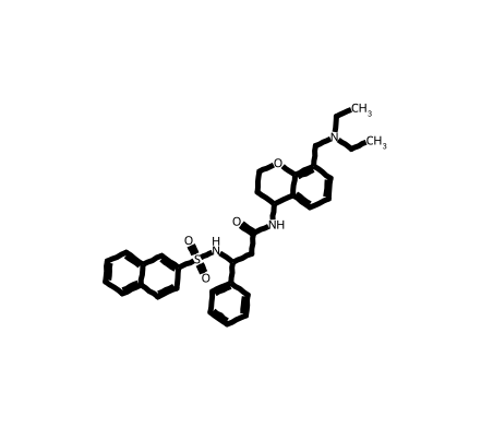 CCN(CC)Cc1cccc2c1OCCC2NC(=O)CC(NS(=O)(=O)c1ccc2ccccc2c1)c1ccccc1